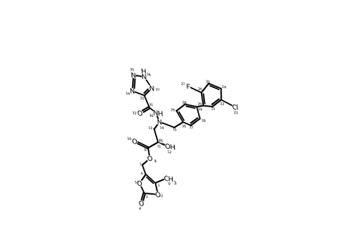 Cc1oc(=O)oc1COC(=O)[C@H](O)CN(Cc1ccc(-c2cc(Cl)ccc2F)cc1)NC(=O)c1nn[nH]n1